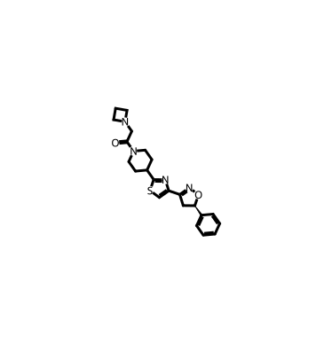 O=C(CN1CCC1)N1CCC(c2nc(C3=NO[C@@H](c4ccccc4)C3)cs2)CC1